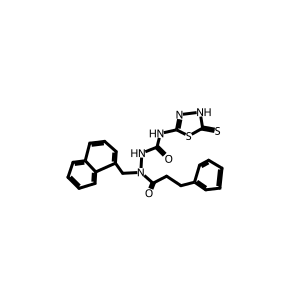 O=C(Nc1n[nH]c(=S)s1)NN(Cc1cccc2ccccc12)C(=O)CCc1ccccc1